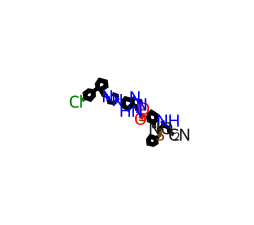 N#CCCC(CSc1ccccc1)Nc1ccc(S(=O)(=O)Nc2ncnc3cc(N4CCN(Cc5ccccc5-c5ccc(Cl)cc5)CC4)ccc23)cc1[N+](=O)[O-]